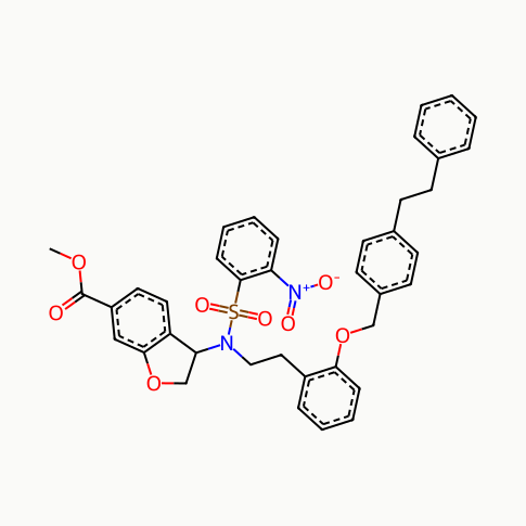 COC(=O)c1ccc2c(c1)OCC2N(CCc1ccccc1OCc1ccc(CCc2ccccc2)cc1)S(=O)(=O)c1ccccc1[N+](=O)[O-]